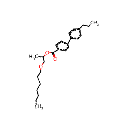 CCCCCCCOCC(C)OC(=O)c1ccc(-c2ccc(CCC)cc2)cc1